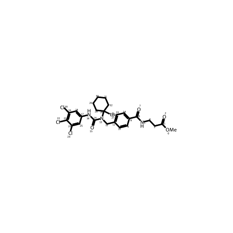 COC(=O)CCNC(=O)c1ccc(CN(C(=O)Nc2cc(Cl)c(Cl)c(Cl)c2)C2(C(C)(C)C)CCCCC2)cc1